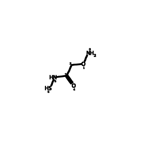 NOCC(=O)NS